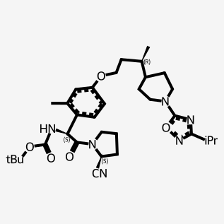 Cc1cc(OCC[C@@H](C)C2CCN(c3nc(C(C)C)no3)CC2)ccc1[C@H](NC(=O)OC(C)(C)C)C(=O)N1CCC[C@H]1C#N